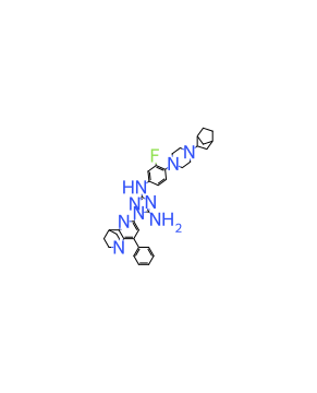 Nc1nc(Nc2ccc(N3CCN(C4CC5CCC4C5)CC3)c(F)c2)nn1-c1cc(-c2ccccc2)c2c(n1)C1CCN2CC1